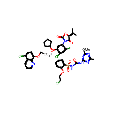 CC(C)=C1OC(=O)N(c2cc(OC3CCCC3)c(Cl)cc2F)C1=O.COc1nc(C)nc(NC(=O)NS(=O)(=O)c2ccccc2OCCCl)n1.O=C(O)COc1ccc(Cl)c2cccnc12